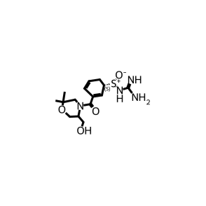 CC1(C)CN(C(=O)C2=C[C@@H]([S+]([O-])NC(=N)N)CC=C2)C(CO)CO1